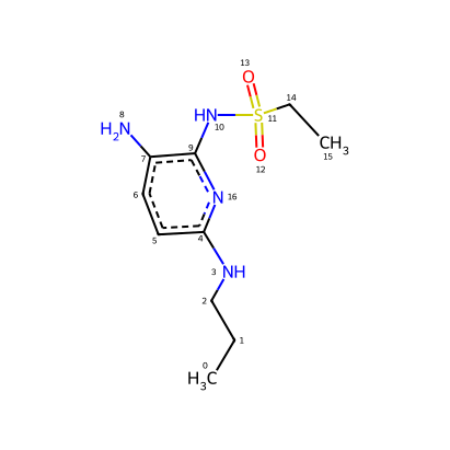 CCCNc1ccc(N)c(NS(=O)(=O)CC)n1